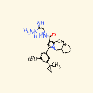 Cc1c(C(=O)NCC(=N)NN)cc(-c2cc(C(C)(C)C)cc(C3(C)CC3)c2)n1CC1CCCCC1